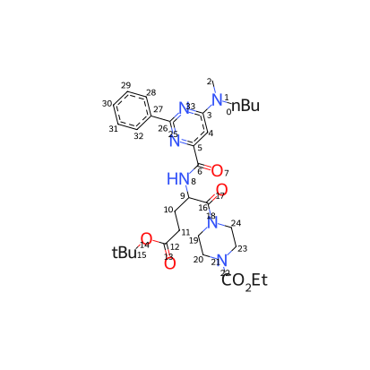 CCCCN(C)c1cc(C(=O)NC(CCC(=O)OC(C)(C)C)C(=O)N2CCN(C(=O)OCC)CC2)nc(-c2ccccc2)n1